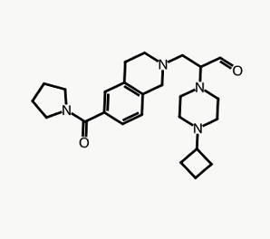 O=CC(CN1CCc2cc(C(=O)N3CCCC3)ccc2C1)N1CCN(C2CCC2)CC1